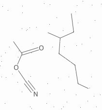 CC(=O)OC#N.CCCCC(C)CC